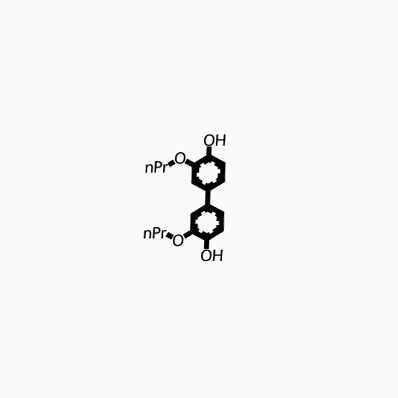 CCCOc1cc(-c2ccc(O)c(OCCC)c2)ccc1O